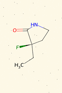 CC[C@@]1(F)CCNC1=O